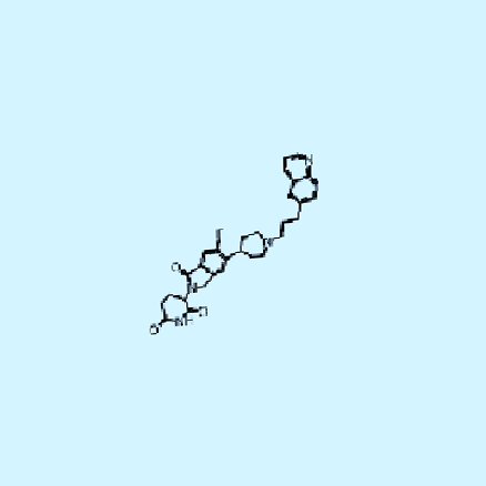 O=C1CCC(N2Cc3cc(C4CCN(CCCc5ccc6ncccc6c5)CC4)c(F)cc3C2=O)C(=O)N1